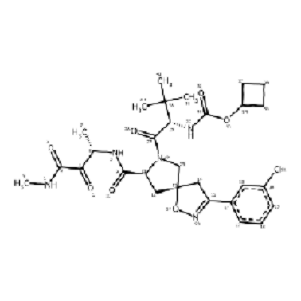 CNC(=O)C(=O)[C@H](C)NC(=O)[C@@H]1C[C@]2(CC(c3cccc(Cl)c3)=NO2)CN1C(=O)[C@@H](NC(=O)OC1CCC1)C(C)(C)C